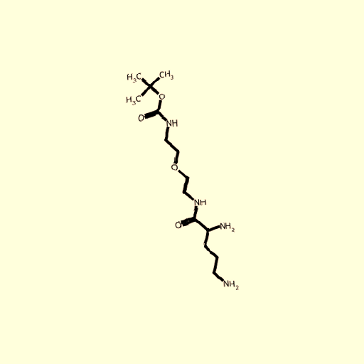 CC(C)(C)OC(=O)NCCOCCNC(=O)C(N)CCCN